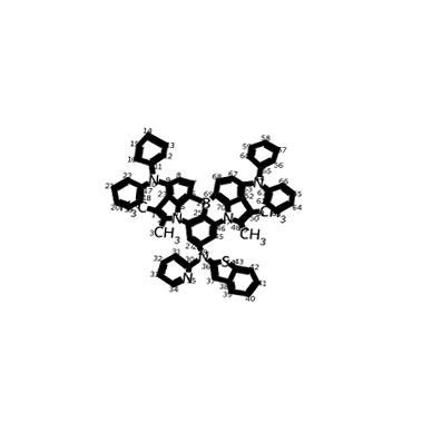 Cc1c(C)n2c3c(ccc(N(c4ccccc4)c4ccccc4)c13)B1c3c-2cc(N(c2ccccn2)c2cc4ccccc4s2)cc3-n2c(C)c(C)c3c(N(c4ccccc4)c4ccccc4)ccc1c32